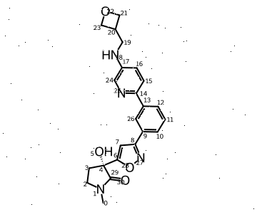 CN1CC[C@@](O)(c2cc(-c3cccc(-c4ccc(NCC5COC5)cn4)c3)no2)C1=O